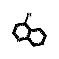 CCc1ccnc2[c]cccc12